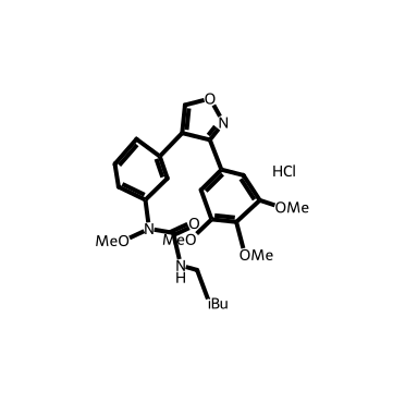 CCC(C)CNC(=O)N(OC)c1cccc(-c2conc2-c2cc(OC)c(OC)c(OC)c2)c1.Cl